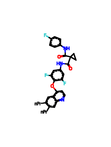 CCCc1cc2nccc(Oc3c(F)cc(NC(=O)C4(C(=O)Nc5ccc(F)cc5)CC4)cc3F)c2cc1CCC